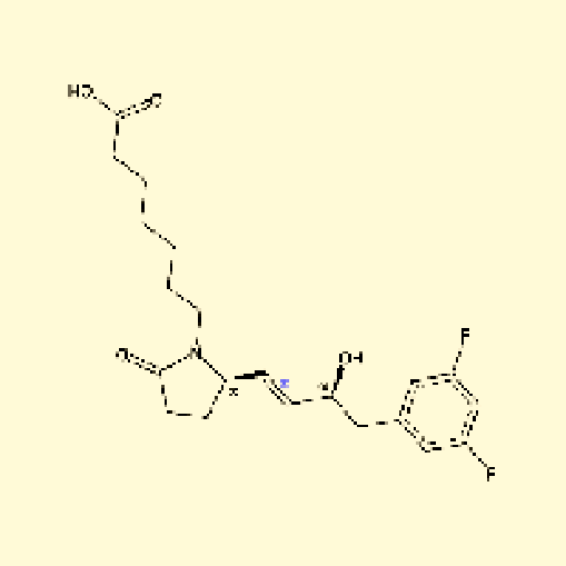 O=C(O)CCCCCCN1C(=O)CC[C@@H]1/C=C/[C@@H](O)Cc1cc(F)cc(F)c1